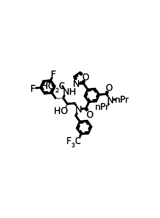 CCCN(CCC)C(=O)c1cc(C(=O)N(Cc2cccc(C(F)(F)F)c2)C[C@H](O)[C@H](Cc2cc(F)cc(F)c2)NC(=O)O)cc(-c2ncco2)c1